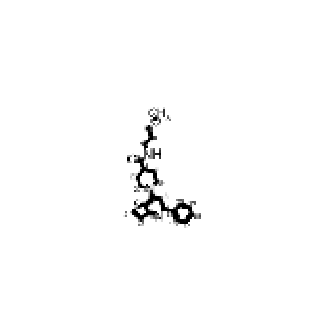 COCCCNC(=O)C1CCN(c2cc(-c3ccccc3)nc3ccsc23)CC1